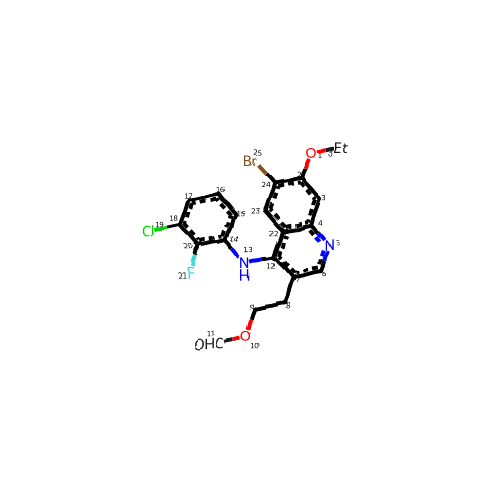 CCOc1cc2ncc(CCOC=O)c(Nc3cccc(Cl)c3F)c2cc1Br